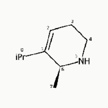 CC(C)C1=CCCN[C@H]1C